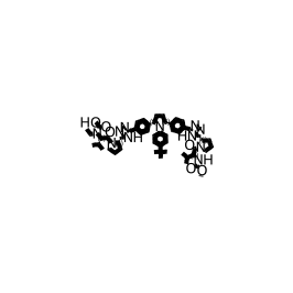 CCN(C(=O)O)[C@H](C(=O)N1CCC[C@H]1c1nnc(-c2ccc([C@@H]3CC[C@@H](c4ccc(-c5nnc([C@@H]6CCCN6C(=O)[C@@H](NC(=O)OC)C(C)C)[nH]5)cc4)N3c3ccc(C(C)(C)C)cc3)cc2)[nH]1)C(C)C